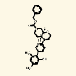 Cc1cc(C)c(-c2ccc(N3CCO[C@H]4CN(C(=O)OCc5ccccc5)CC[C@H]43)nn2)c(O)c1